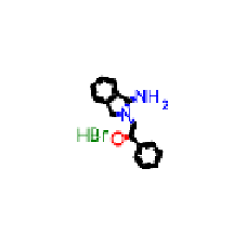 Br.NC1c2ccccc2CN1CC(=O)c1ccccc1